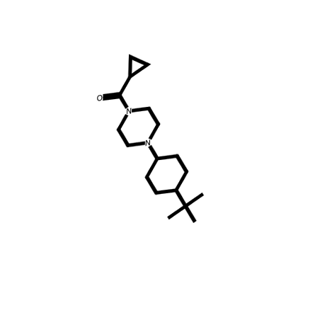 CC(C)(C)C1CCC(N2CCN(C(=O)C3CC3)CC2)CC1